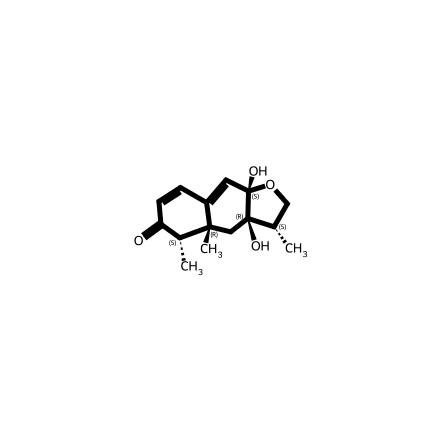 C[C@@H]1C(=O)C=CC2=C[C@]3(O)OC[C@H](C)[C@]3(O)C[C@@]21C